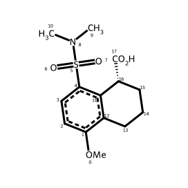 COc1ccc(S(=O)(=O)N(C)C)c2c1CCC[C@H]2C(=O)O